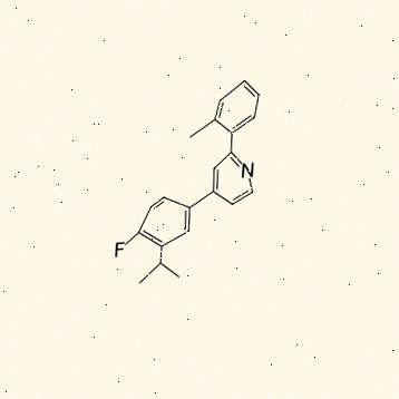 Cc1ccccc1-c1cc(-c2ccc(F)c(C(C)C)c2)ccn1